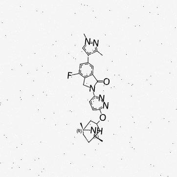 Cc1nn(C)cc1-c1cc(F)c2c(c1)C(=O)N(c1ccc(OC3C[C@]4(C)CC[C@](C)(C3)N4)nn1)C2